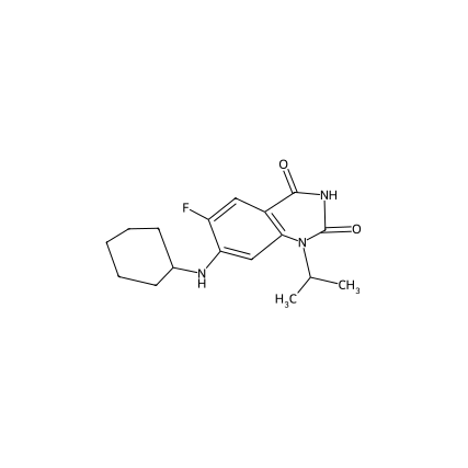 CC(C)n1c(=O)[nH]c(=O)c2cc(F)c(NC3CCCCC3)cc21